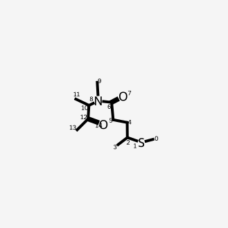 CSC(C)CCC(=O)N(C)C(C)C(C)=O